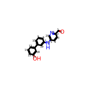 O=Cc1ccc(Nc2cccc(-c3cccc(O)c3)c2)cn1